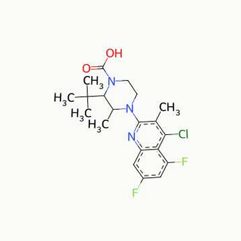 Cc1c(N2CCN(C(=O)O)C(C(C)(C)C)C2C)nc2cc(F)cc(F)c2c1Cl